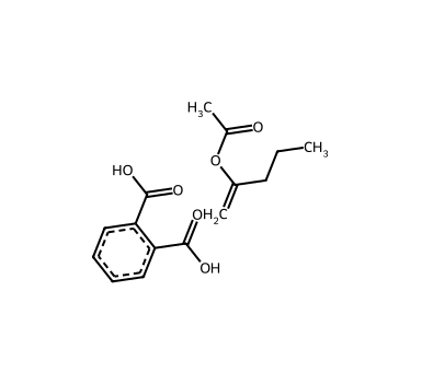 C=C(CCC)OC(C)=O.O=C(O)c1ccccc1C(=O)O